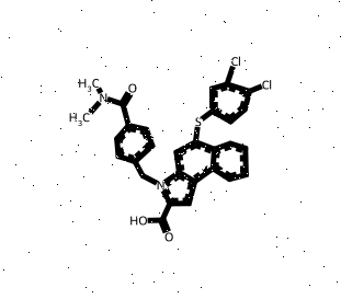 CN(C)C(=O)c1ccc(Cn2c(C(=O)O)cc3c4ccccc4c(Sc4ccc(Cl)c(Cl)c4)cc32)cc1